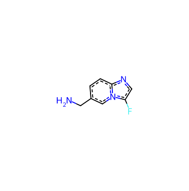 NCc1ccc2ncc(F)n2c1